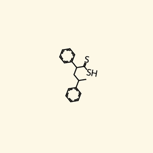 CC(CC(C(=S)S)c1ccccc1)c1ccccc1